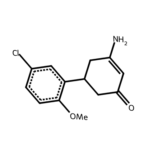 COc1ccc(Cl)cc1C1CC(=O)C=C(N)C1